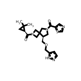 CC1(C)C[C@@H]1C(=O)N1CC2(CN(C(=O)c3cncs3)C[C@H]2COCc2ccn[nH]2)C1